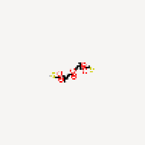 CSCC(=O)OC(C)(C)CCOC(=O)CCC(C)(C)OC(=O)CSC